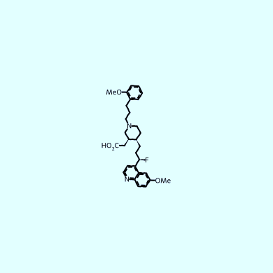 COc1ccc2nccc([C@H](F)CC[C@@H]3CCN(CCCc4ccccc4OC)C[C@@H]3CC(=O)O)c2c1